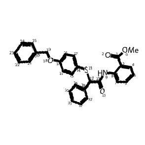 COC(=O)c1ccccc1NC(=O)C(Sc1ccc(OCc2ccccc2)cc1)c1ccccc1